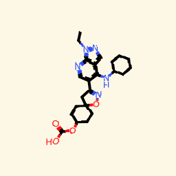 CCn1ncc2c(NC3CCCCC3)c(C3=NOC4(CCC(OC(=O)O)CC4)C3)cnc21